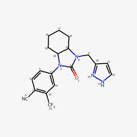 N#Cc1ccc(N2C(=O)N(Cc3cc[nH]n3)C3CCCCC32)cc1C(F)(F)F